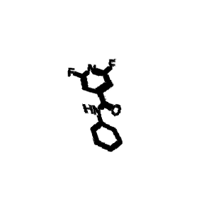 O=C(NC1CCCCC1)c1cc(F)nc(F)c1